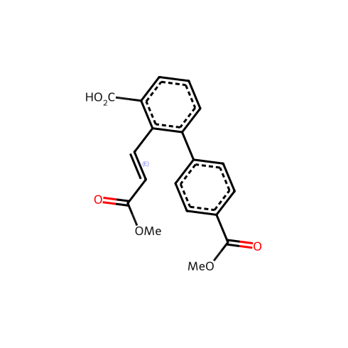 COC(=O)/C=C/c1c(C(=O)O)cccc1-c1ccc(C(=O)OC)cc1